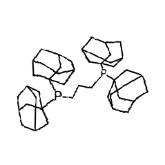 C(CP(C12CC3CC(CC(C3)C1)C2)C12CC3CC(CC(C3)C1)C2)CP(C12CC3CC(CC(C3)C1)C2)C12CC3CC(CC(C3)C1)C2